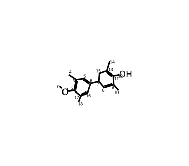 COc1c(C)cc(C2C=C(C)C(O)=C(C)C2)cc1C